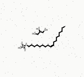 CCCCCCCC/C=C\CCCCCCCCOS(=O)(=O)O.OCC(O)CO